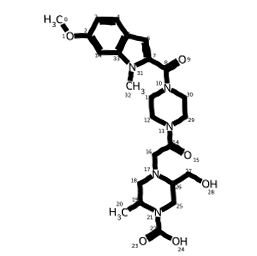 COc1ccc2cc(C(=O)N3CCN(C(=O)CN4CC(C)N(C(=O)O)CC4CO)CC3)n(C)c2c1